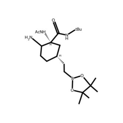 CC(=O)N[C@]1(C(=O)NC(C)(C)C)C[C@H](CCB2OC(C)(C)C(C)(C)O2)CCC1N